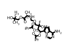 COC(F)(COCN[C@@H](C)C(=O)OCC(C)(C)O)[C@@H](OC(=O)C(C)C)[C@@H](OC(=O)C(C)C)c1ccc2c(N)ncnn12